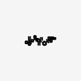 COC(=O)C(C)(C)c1cccc([C@@H]2[C@@H]3CN(C(=O)C4CC5(COC(=O)N5)C4)C[C@@H]32)c1